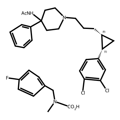 CC(=O)NC1(c2ccccc2)CCN(CCC[C@@H]2C[C@@H]2c2ccc(Cl)c(Cl)c2)CC1.CN(Cc1ccc(F)cc1)C(=O)O